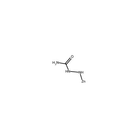 NC(=O)N[NH][Zn]